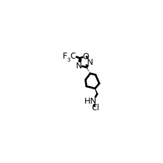 FC(F)(F)c1nc([C@H]2CC[C@H](CNCl)CC2)no1